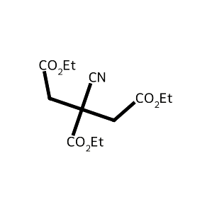 CCOC(=O)CC(C#N)(CC(=O)OCC)C(=O)OCC